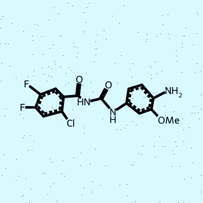 COc1cc(NC(=O)NC(=O)c2cc(F)c(F)cc2Cl)ccc1N